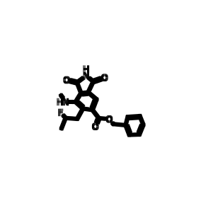 CNc1c(CC(C)F)c(C(=O)OCc2ccccc2)cc2c1C(=O)NC2=O